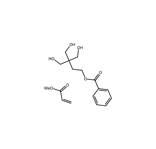 C=CC(=O)OC.O=C(OCCC(CO)(CO)CO)c1ccccc1